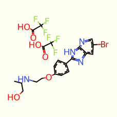 CC(CO)NCCOc1ccc(-c2nc3cc(Br)cnc3[nH]2)cc1.O=C(O)C(F)(F)F.O=C(O)C(F)(F)F